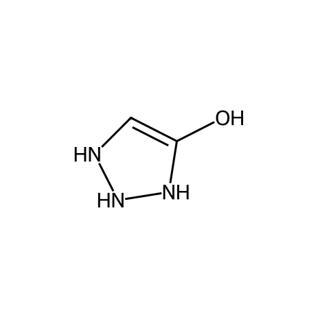 OC1=CNNN1